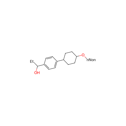 CCCCCCCCCOC1CCC(c2ccc(C(O)CC)cc2)CC1